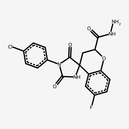 NNC(=O)C1CC2(NC(=O)N(c3ccc(Cl)cc3)C2=O)c2cc(F)ccc2O1